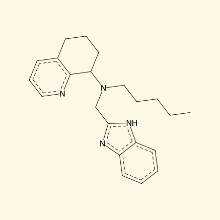 CCCCCN(Cc1nc2ccccc2[nH]1)C1CCCc2cccnc21